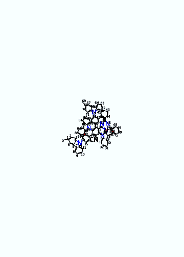 Cc1ccc2c(c1)c1ccccc1n2-c1ccc(-c2c(C#N)c(-n3c4ccccc4c4ccccc43)c(-c3nc(-c4ccccc4)nc(-c4ccccc4)n3)c(-c3ccc(-n4c5ccccc5c5cc(C)ccc54)cc3)c2-n2c3ccccc3c3ccccc32)cc1